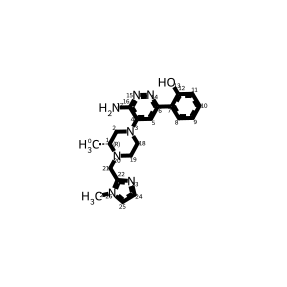 C[C@@H]1CN(c2cc(-c3ccccc3O)nnc2N)CCN1Cc1nccn1C